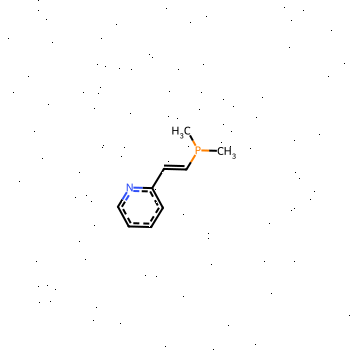 CP(C)C=Cc1ccccn1